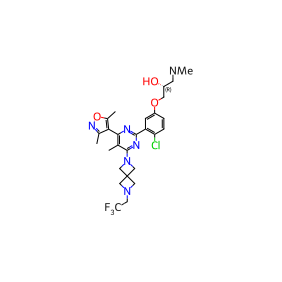 CNC[C@@H](O)COc1ccc(Cl)c(-c2nc(-c3c(C)noc3C)c(C)c(N3CC4(CN(CC(F)(F)F)C4)C3)n2)c1